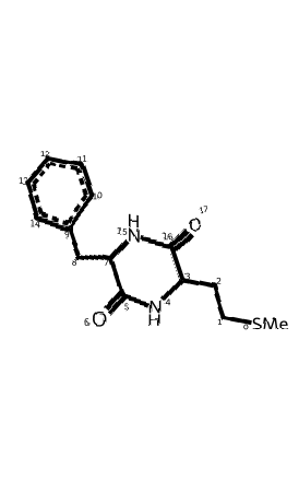 CSCCC1NC(=O)C(Cc2ccccc2)NC1=O